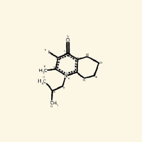 Cc1c(I)c(=O)c2c(n1CC(C)C)CCCC2